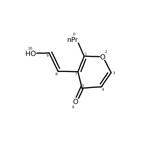 CCCc1occc(=O)c1/C=C/O